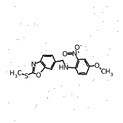 COc1ccc(NCc2ccc3nc(SC)oc3c2)c([N+](=O)[O-])c1